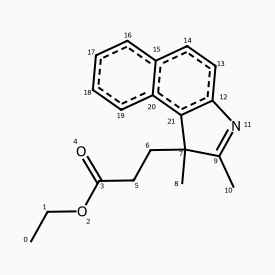 CCOC(=O)CCC1(C)C(C)=Nc2ccc3ccccc3c21